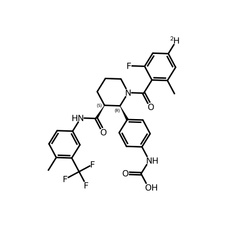 [2H]c1cc(C)c(C(=O)N2CCC[C@H](C(=O)Nc3ccc(C)c(C(F)(F)F)c3)[C@@H]2c2ccc(NC(=O)O)cc2)c(F)c1